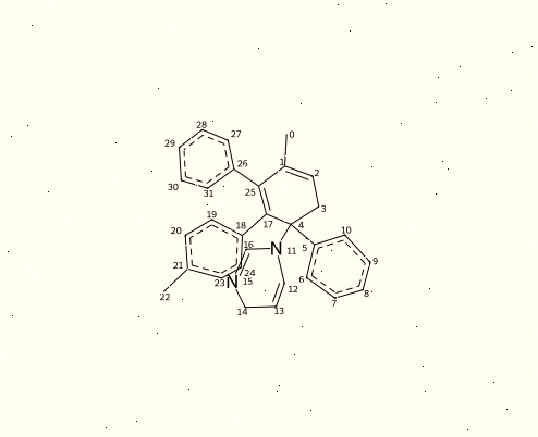 CC1=CCC(c2ccccc2)(N2C=CCN=C2)C(c2ccc(C)cc2)=C1c1ccccc1